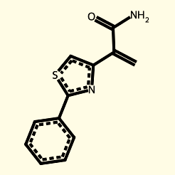 C=C(C(N)=O)c1csc(-c2ccccc2)n1